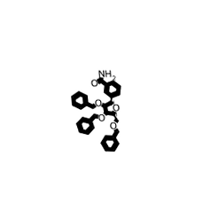 NC(=O)c1cccc([C@H]2O[C@@H](COCc3ccccc3)C(OCc3ccccc3)C2OCc2ccccc2)c1